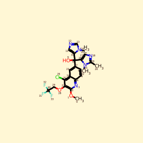 COc1nc2ccc(C(O)(c3cncn3C)c3cnc(C)n3C)cc2c(Cl)c1OCC(F)(F)F